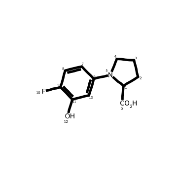 O=C(O)C1CCCN1c1ccc(F)c(O)c1